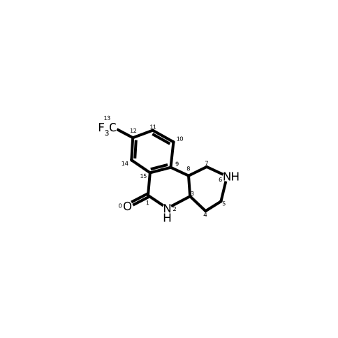 O=C1NC2CCNCC2c2ccc(C(F)(F)F)cc21